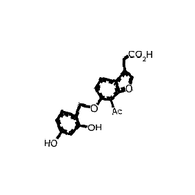 CC(=O)c1c(OCc2ccc(O)cc2O)ccc2c(CC(=O)O)coc12